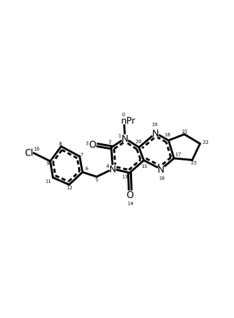 CCCn1c(=O)n(Cc2ccc(Cl)cc2)c(=O)c2nc3c(nc21)CCC3